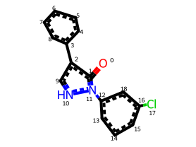 O=c1c(-c2ccccc2)c[nH]n1-c1cccc(Cl)c1